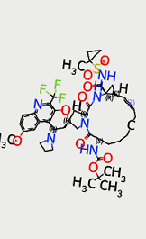 COc1ccc2nc(C(F)(F)F)c3c(c2c1)[C@H](N1CCC1)C[C@]1(C[C@H]2C(=O)N[C@]4(C(=O)NS(=O)(=O)C5(C)CC5)C[C@H]4/C=C\CCCCC[C@H](NC(=O)OC(C)(C)C)C(=O)N2C1)O3